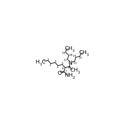 CCCCCCC(C(N)=O)C(C)N(CCCC)CCCC